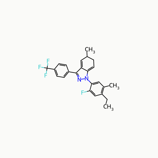 CCc1cc(F)c(-n2nc(-c3ccc(C(F)(F)F)cc3)c3c2=CCC(C)C=3)cc1C